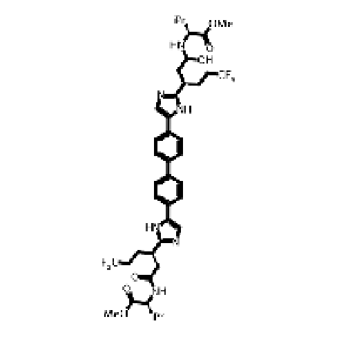 COC(=O)[C@@H](NC(=O)C[C@@H](CCC(F)(F)F)c1ncc(-c2ccc(-c3ccc(-c4cnc([C@H](CCC(F)(F)F)CC(O)N[C@H](C(=O)OC)C(C)C)[nH]4)cc3)cc2)[nH]1)C(C)C